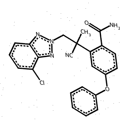 CC(C#N)(Cn1nc2cccc(Cl)c2n1)c1cc(Oc2ccccc2)ccc1C(N)=O